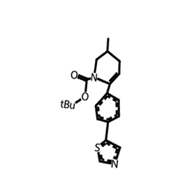 CC1CC=C(c2ccc(-c3cncs3)cc2)N(C(=O)OC(C)(C)C)C1